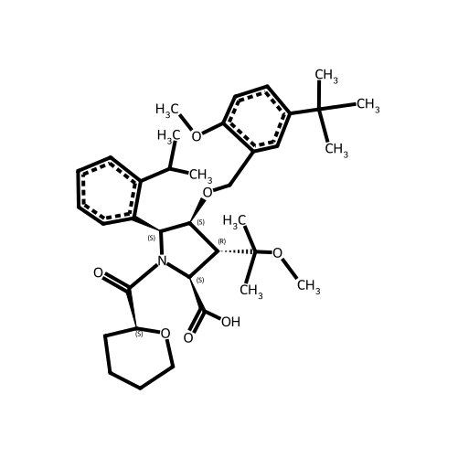 COc1ccc(C(C)(C)C)cc1CO[C@H]1[C@H](C(C)(C)OC)[C@@H](C(=O)O)N(C(=O)[C@@H]2CCCCO2)[C@H]1c1ccccc1C(C)C